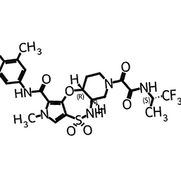 Cc1cc(NC(=O)c2c3c(cn2C)S(=O)(=O)N[C@@H]2CN(C(=O)C(=O)N[C@@H](C)C(F)(F)F)CC[C@H]2O3)ccc1F